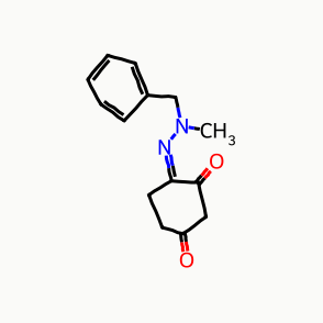 CN(Cc1ccccc1)N=C1CCC(=O)CC1=O